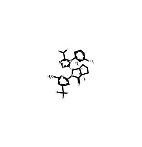 Cc1cccc(-n2c(C(F)F)nnc2[C@@H]2[C@H]3CCC[C@H]3C(=O)N2c2cc(C(F)(F)F)cc(C)n2)c1